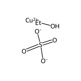 CCO.O=S(=O)([O-])[O-].[Cu+2]